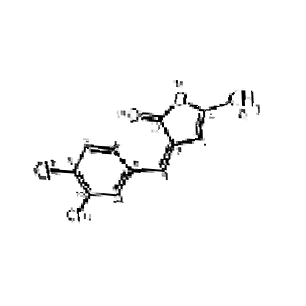 CC1=C/C(=C/c2ccc(Cl)c(Cl)c2)C(=O)O1